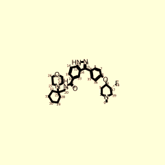 CN1CC[C@@H](Oc2ccc(-c3n[nH]c4ccc(C(=O)NCC5(N6CCOCC6)CCCCC5)cc34)cc2)[C@H](F)C1